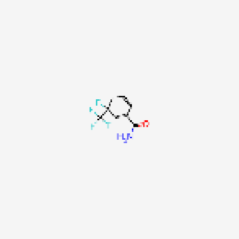 NC(=O)C1=CC(F)(C(F)(F)F)CC=C1